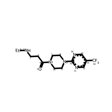 CCNCCC(=O)N1CCN(c2ncc(C(F)(F)F)cn2)CC1